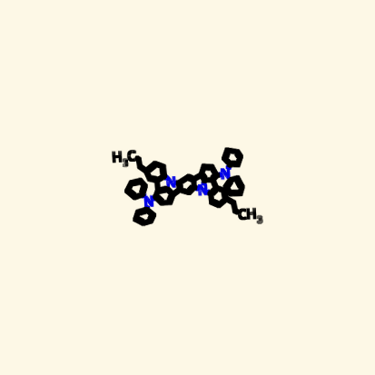 CCCc1ccc2c(c1)c1c(N(c3ccccc3)c3ccccc3)ccc3c4cc5c(cc4n2c31)c1ccc(N(c2ccccc2)c2ccccc2)c2c3cc(CCC)ccc3n5c12